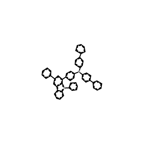 c1ccc(-c2ccc(N(c3ccc(-c4ccccc4)cc3)c3ccc(-c4cc(-c5ccccc5)cc5c6ccccc6n(-c6ccccc6)c45)cc3)cc2)cc1